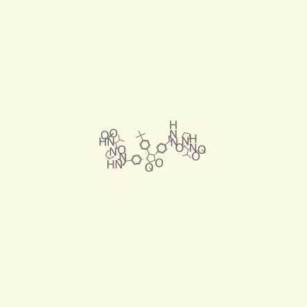 COC(=O)N[C@H](C(=O)N1CCC[C@H]1c1nc(-c2ccc([C@@H]3C(c4ccc(C(C)(C)C)cc4)[C@@H](c4ccc(-c5c[nH]c([C@@H]6CCCN6C(=O)[C@@H](NC(=O)OC)C(C)C)n5)cc4)[C@@H](OC)[C@@H]3OC)cc2)c[nH]1)C(C)C